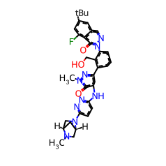 CN1C[C@@H]2C[C@H]1CN2c1ccc(Nc2cc(-c3cccc(-n4ncc5cc(C(C)(C)C)cc(F)c5c4=O)c3CO)nn(C)c2=O)nn1